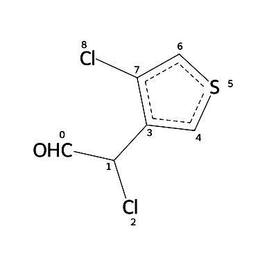 O=CC(Cl)c1cscc1Cl